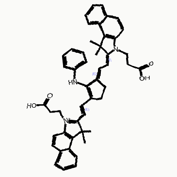 CC1(C)C(/C=C/C2=C(Nc3ccccc3)C(=C/C=C3/N(CCC(=O)O)c4ccc5ccccc5c4C3(C)C)/CC2)=[N+](CCC(=O)O)c2ccc3ccccc3c21